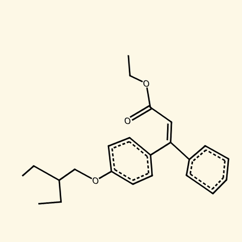 CCOC(=O)C=C(c1ccccc1)c1ccc(OCC(CC)CC)cc1